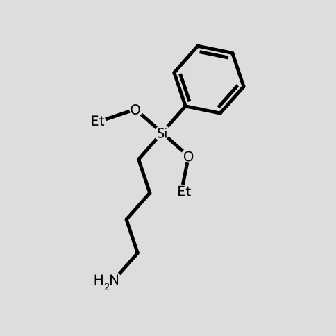 CCO[Si](CCCCN)(OCC)c1ccccc1